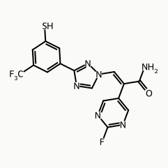 NC(=O)/C(=C/n1cnc(-c2cc(S)cc(C(F)(F)F)c2)n1)c1cnc(F)nc1